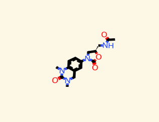 CC(=O)NC[C@H]1CN(c2ccc3c(c2)CN(C)C(=O)N3C)C(=O)O1